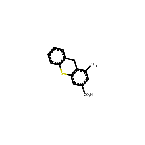 Cc1cc(C(=O)O)cc2c1Cc1ccccc1S2